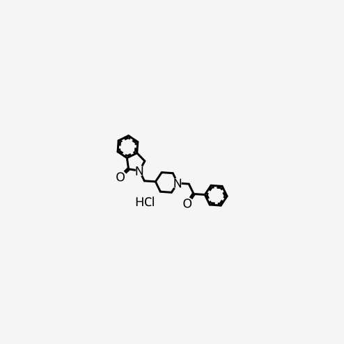 Cl.O=C(CN1CCC(CN2Cc3ccccc3C2=O)CC1)c1ccccc1